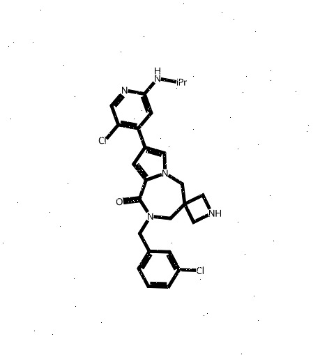 CC(C)Nc1cc(-c2cc3n(c2)CC2(CNC2)CN(Cc2cccc(Cl)c2)C3=O)c(Cl)cn1